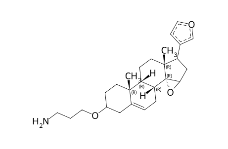 C[C@]12CCC(OCCCN)CC1=CC[C@@H]1[C@H]2CC[C@]2(C)C(c3ccoc3)CC3O[C@]312